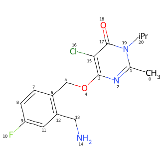 Cc1nc(OCc2ccc(F)cc2CN)c(Cl)c(=O)n1C(C)C